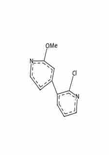 COc1cc(-c2cccnc2Cl)ccn1